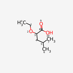 CCOC(CC(C)C)C(=O)O